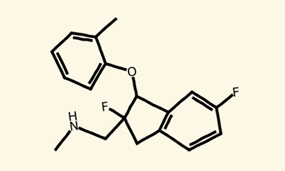 CNCC1(F)Cc2ccc(F)cc2C1Oc1ccccc1C